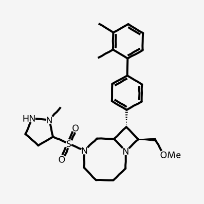 COC[C@@H]1[C@@H](c2ccc(-c3cccc(C)c3C)cc2)C2CN(S(=O)(=O)C3CCNN3C)CCCCN21